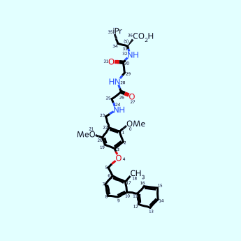 COc1cc(OCc2cccc(-c3ccccc3)c2C)cc(OC)c1CNCC(=O)NCC(=O)N[C@@H](CC(C)C)C(=O)O